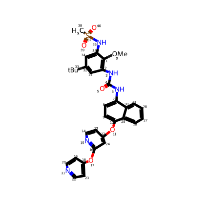 COc1c(NC(=O)Nc2ccc(Oc3ccnc(Oc4ccncc4)c3)c3ccccc23)cc(C(C)(C)C)cc1NS(C)(=O)=O